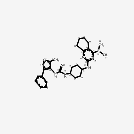 Cc1onc(-c2ccccc2)c1NC(=S)NC1CCC(Nc2nc3c(c(N(C)C)n2)CCCC3)CC1